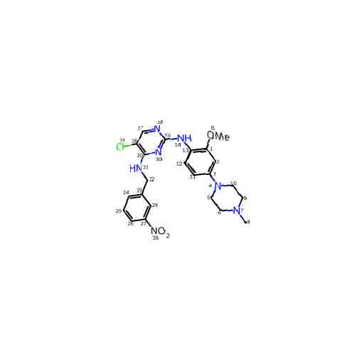 COc1cc(N2CCN(C)CC2)ccc1Nc1ncc(Cl)c(NCc2cccc([N+](=O)[O-])c2)n1